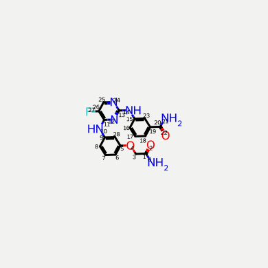 NC(=O)COc1cccc(Nc2nc(Nc3cccc(C(N)=O)c3)ncc2F)c1